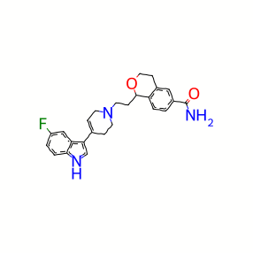 NC(=O)c1ccc2c(c1)CCOC2CCN1CC=C(c2c[nH]c3ccc(F)cc23)CC1